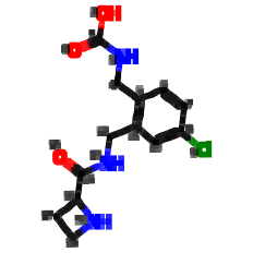 O=C(O)NCc1ccc(Cl)cc1CNC(=O)C1CCN1